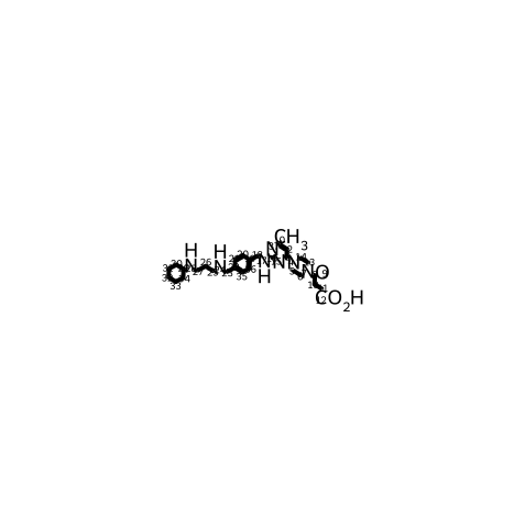 Cc1cc(N2CCN(C(=O)CCC(=O)O)CC2)nc(NCc2ccc(CNCCCNC3CCCCC3)cc2)n1